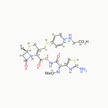 CO/N=C(\C(=O)NOC(=O)C1=C(CSc2cc[n+](NCC(=O)O)cc2)CS[C@H]2CC(=O)N12)c1csc(N)n1